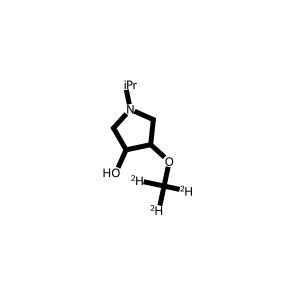 [2H]C([2H])([2H])OC1CN(C(C)C)CC1O